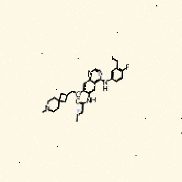 C/C=C/C(=O)Nc1cc2c(Nc3ccc(F)c(CI)c3)ncnc2cc1OCC1CC2(CCN(C)CC2)C1